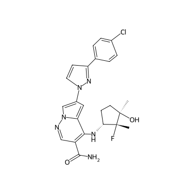 C[C@@]1(O)CC[C@@H](Nc2c(C(N)=O)cnn3cc(-n4ccc(-c5ccc(Cl)cc5)n4)cc23)[C@@]1(C)F